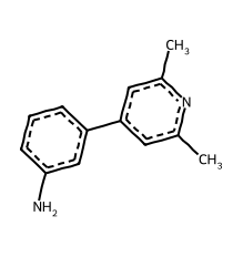 Cc1cc(-c2cccc(N)c2)cc(C)n1